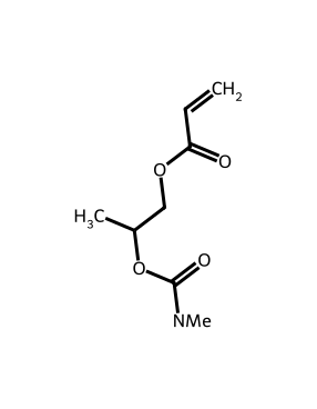 C=CC(=O)OCC(C)OC(=O)NC